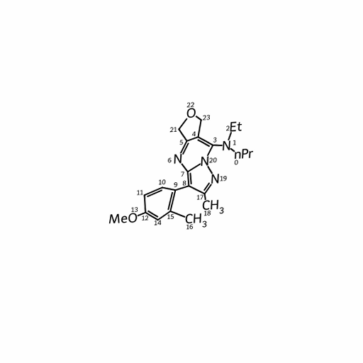 CCCN(CC)c1c2c(nc3c(-c4ccc(OC)cc4C)c(C)nn13)COC2